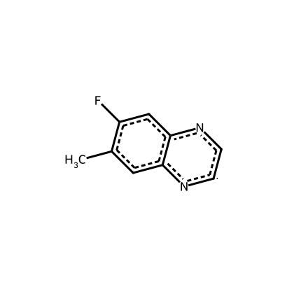 Cc1cc2n[c]cnc2cc1F